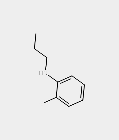 CCCNc1ccccc1[S]